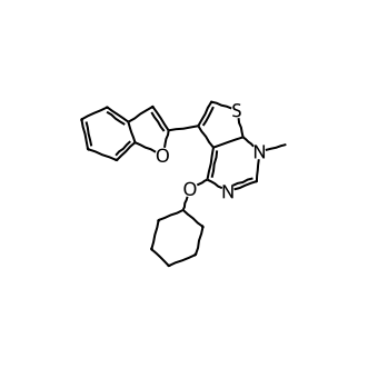 CN1C=NC(OC2CCCCC2)=C2C(c3cc4ccccc4o3)=CSC21